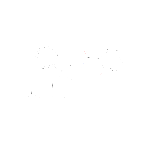 COc1ccccc1C(=O)NC[C@]1(c2ccccc2)CCC[C@H](OC(C)=O)C1